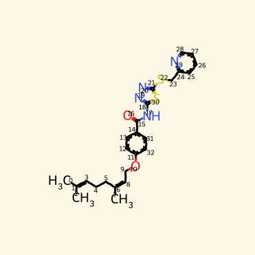 CC(C)=CCCC(C)=CCOc1ccc(C(=O)Nc2nnc(SCc3ccccn3)s2)cc1